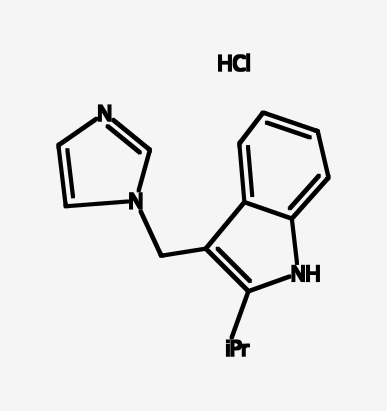 CC(C)c1[nH]c2ccccc2c1Cn1ccnc1.Cl